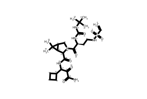 C=CS(=O)(=O)NCC[C@H](NC(=O)NC(C)(C)C)C(=O)N1CC2C(C1C(=O)NC(C(=O)C(N)=O)C1CCC1)C2(C)C